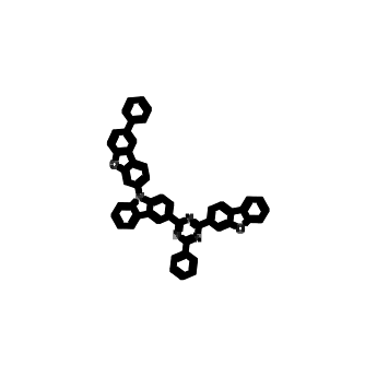 c1ccc(-c2ccc3oc4cc(-n5c6ccccc6c6cc(-c7nc(-c8ccccc8)nc(-c8ccc9c(c8)oc8ccccc89)n7)ccc65)ccc4c3c2)cc1